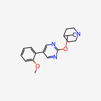 COc1ccccc1-c1cnc(OC2CN3CCC2CC3)nc1